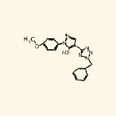 COc1ccc(-n2ncc(-c3nnn(Cc4ccccc4)n3)c2S)cc1